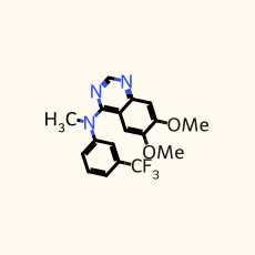 COc1cc2ncnc(N(C)c3cccc(C(F)(F)F)c3)c2cc1OC